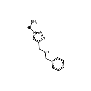 BBn1cc(CNCc2ccccc2)nn1